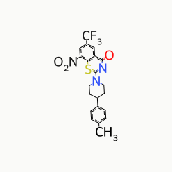 Cc1ccc(C2CCN(c3nc(=O)c4cc(C(F)(F)F)cc([N+](=O)[O-])c4s3)CC2)cc1